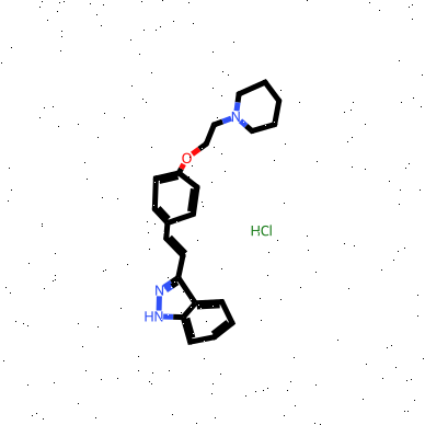 C(=C\c1n[nH]c2ccccc12)/c1ccc(OCCN2CCCCC2)cc1.Cl